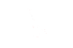 O.O.O.[O]=[Ti]=[O].[Sc].[Sc]